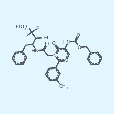 CCOC(=O)C(F)(F)C(O)C(Cc1ccccc1)NC(=O)Cn1c(-c2cccc(C)c2)ncc(NC(=O)OCc2ccccc2)c1=O